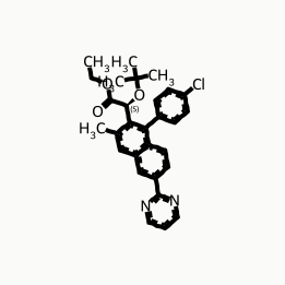 CCOC(=O)[C@@H](OC(C)(C)C)c1c(C)cc2cc(-c3ncccn3)ccc2c1-c1ccc(Cl)cc1